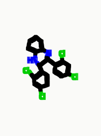 Clc1ccc(C2=Nc3ccccc3NC2c2ccc(Cl)cc2Cl)c(Cl)c1